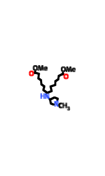 COC(=O)CCCCCCC(CCCCCCC(=O)OC)NC1CCN(C)CC1